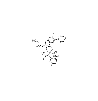 COC(=O)C1(N(C(=O)C(F)(F)F)c2cccc(Cl)c2)CCC2(CC1)C(C[C@@H](C)CO)=Cc1cc(F)c(C3OCCCO3)cc12